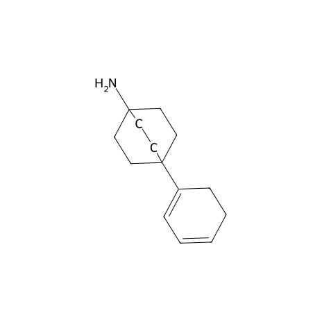 NC12CCC(C3=CC=CCC3)(CC1)CC2